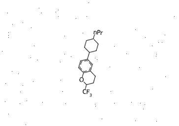 CCCC1CCC(c2ccc3c(c2)CCC(C(F)(F)F)O3)CC1